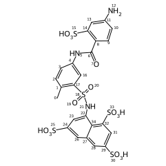 Cc1ccc(NC(=O)c2ccc(N)cc2S(=O)(=O)O)cc1S(=O)(=O)Nc1cc(S(=O)(=O)O)cc2cc(S(=O)(=O)O)cc(S(=O)(=O)O)c12